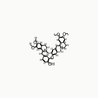 COc1cc2c(cc1OC)C(Cc1ccc(Oc3cc(CC4c5cc(OC)c(OC)cc5CCN4C)ccc3O)cc1)N(C)CC2